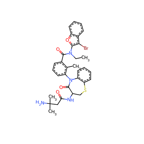 CCN(C(=O)c1cccc(N2C(=O)C(NC(=O)CC(C)(C)N)CSc3ccccc32)c1C)c1oc2ccccc2c1Br